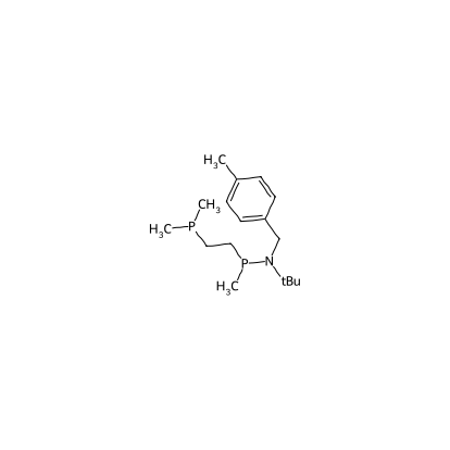 Cc1ccc(CN(P(C)CCP(C)C)C(C)(C)C)cc1